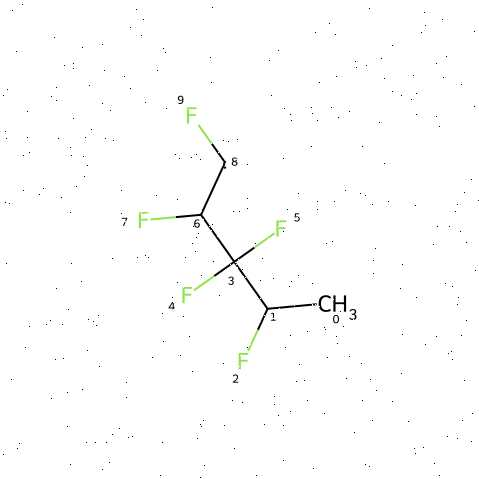 CC(F)C(F)(F)C(F)[CH]F